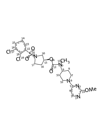 COc1nccc(N2CCC(N(C)C(=O)O[C@H]3CCN(S(=O)(=O)c4cccc(Cl)c4Cl)C3)CC2)n1